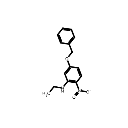 CCNc1cc(OCc2ccccc2)ccc1[N+](=O)[O-]